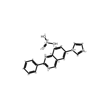 O=[PH](O)O.c1ccc(-c2ncc3cc(-n4ccnc4)ccc3n2)cc1